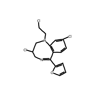 ClCCN1CC(Cl)C/N=C(/c2ccco2)c2ccc(Cl)cc21